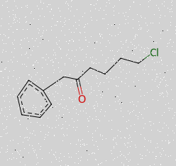 O=C(CCCCCl)Cc1ccccc1